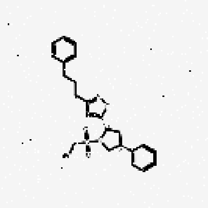 CC(C)CS(=O)(=O)N1C[C@H](c2ccccc2)C[C@H]1c1nc(CCCc2ccccc2)no1